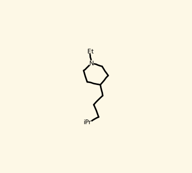 CCN1CCC(CCCC(C)C)CC1